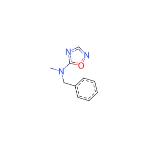 CN(Cc1ccccc1)c1ncno1